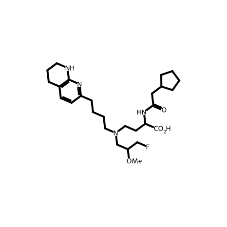 COC(CF)CN(CCCCc1ccc2c(n1)NCCC2)CCC(NC(=O)CC1CCCC1)C(=O)O